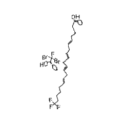 O=C(O)C(F)(Br)Br.O=C(O)CCCC=CCC=CCC=CCC=CCCCCC(F)(F)F